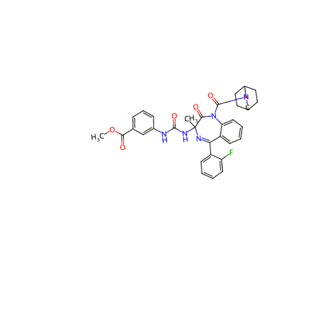 COC(=O)c1cccc(NC(=O)NC2(C)N=C(c3ccccc3F)c3ccccc3N(C(=O)N3CC4CCC(CC4)C3)C2=O)c1